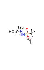 C=C(C)CC1(S(=O)(=O)NN(C(=O)O)C(C)(C)C)CC1